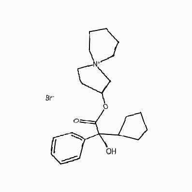 O=C(OC1CC[N+]2(CCCCC2)C1)C(O)(c1ccccc1)C1CCCC1.[Br-]